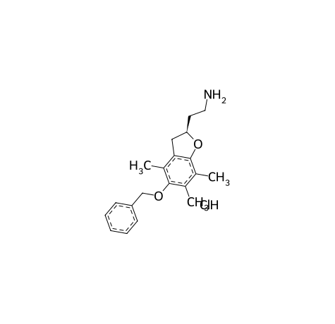 Cc1c(C)c2c(c(C)c1OCc1ccccc1)C[C@@H](CCN)O2.Cl